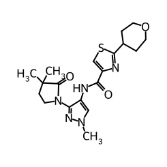 Cn1cc(NC(=O)c2csc(C3CCOCC3)n2)c(N2CCC(C)(C)C2=O)n1